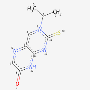 CC(C)n1cc2ncc(=O)[nH]c2nc1=S